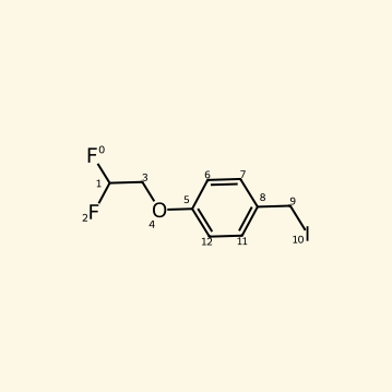 FC(F)COc1ccc(CI)cc1